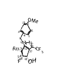 COc1ccc(Cn2nc(C(F)(F)F)c3c2[C@@H](F)[C@@H](F)[C@H]3O)cc1